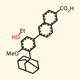 COc1ccc(-c2ccc3cc(C(=O)O)ccc3c2)cc1C12CC3CC(CC(C3)C1)C2.[CH2]CO